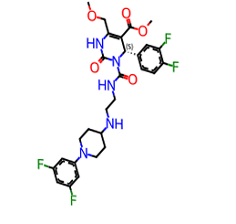 COCC1=C(C(=O)OC)[C@H](c2ccc(F)c(F)c2)N(C(=O)NCCNC2CCN(c3cc(F)cc(F)c3)CC2)C(=O)N1